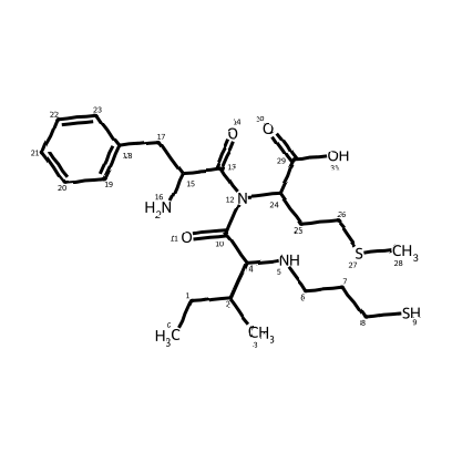 CCC(C)C(NCCCS)C(=O)N(C(=O)C(N)Cc1ccccc1)C(CCSC)C(=O)O